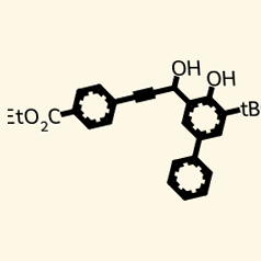 CCOC(=O)c1ccc(C#CC(O)c2cc(-c3ccccc3)cc(C(C)(C)C)c2O)cc1